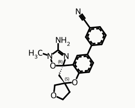 CN1O[C@@]2(C[C@]3(CCOC3)Oc3ccc(-c4cccc(C#N)c4)cc32)N=C1N